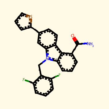 NC(=O)c1cccc2c1c1[c]cc(-c3cccs3)cc1n2Cc1c(F)cccc1F